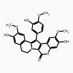 COc1ccc(-c2c3n(c4c(=O)oc5cc(O)c(OC)cc5c24)CCc2cc(O)c(OC)cc2-3)cc1O